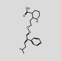 CC(C)CC=C(C=NOCCC1NCCCC1C(=O)O)c1ccccc1